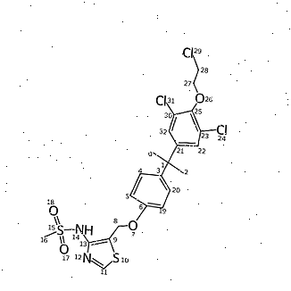 CC(C)(c1ccc(OCc2scnc2NS(C)(=O)=O)cc1)c1cc(Cl)c(OCCCl)c(Cl)c1